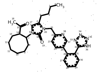 CCCCc1cn(C2CCCCCCC2C(C)=O)c(=O)n1Cc1ccc(-c2ccccc2-c2nnn[nH]2)cn1